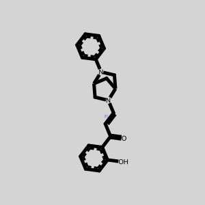 O=C(/C=C/N1CC2CC1CN2c1ccccc1)c1ccccc1O